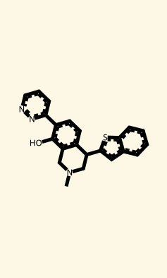 CN1Cc2c(ccc(-c3cccnn3)c2O)C(c2cc3ccccc3s2)C1